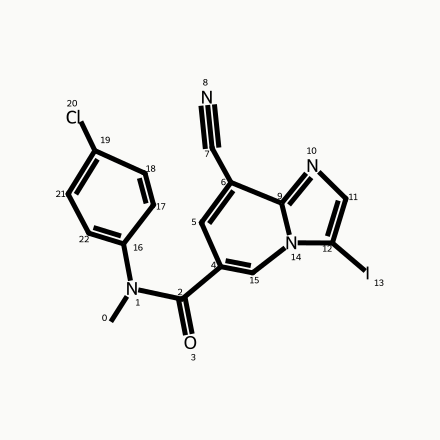 CN(C(=O)c1cc(C#N)c2ncc(I)n2c1)c1ccc(Cl)cc1